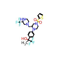 CC(O)(c1ccc(N2CCN(S(=O)(=O)c3cccs3)C[C@@H]2CN2CCN[C@@H](C(F)(F)F)C2)cc1)C(F)(F)F